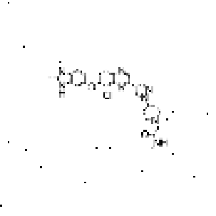 CNC(=O)CN1CCC(n2cc(-c3cnc4ccc(Oc5ccc6nc(C)[nH]c6c5)c(Cl)c4n3)cn2)CC1